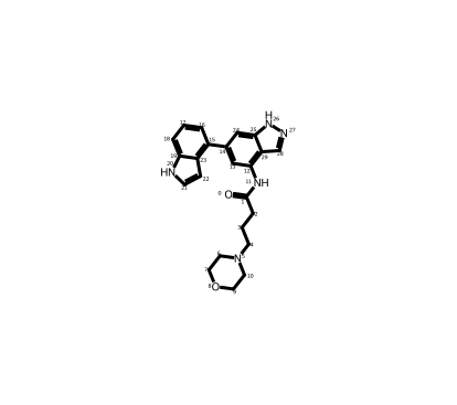 O=C(CCCN1CCOCC1)Nc1cc(-c2cccc3[nH]ccc23)cc2[nH]ncc12